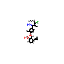 CN/C(Cl)=C(/C)C(=N)c1ccc(OCc2c(O)cccc2C2CC2)c(C)c1